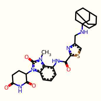 Cn1c(=O)n(C2CCC(=O)NC2=O)c2cccc(NC(=O)c3nc(CNC45CC6CC(CC(C6)C4)C5)cs3)c21